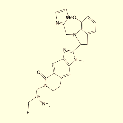 COc1cccc2cc(-c3nc4cc5c(cc4n3C)CCN(C[C@H](N)CF)C5=O)n(Cc3ncco3)c12